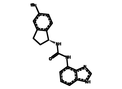 CC(C)(C)c1ccc2c(c1)CC[C@H]2NC(=O)Nc1cccc2[nH]cnc12